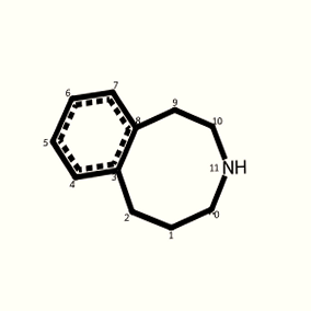 [C]1CCc2ccccc2CCN1